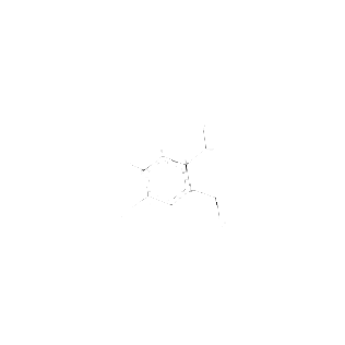 OCc1cc(F)c(F)cc1CO